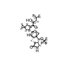 O=C1NCC[C@H]1C[C@H](NC(=O)[C@@H]1CC2(CC2)CN1C(=O)[C@H](O)CC(F)F)C(=O)COC(F)(F)F